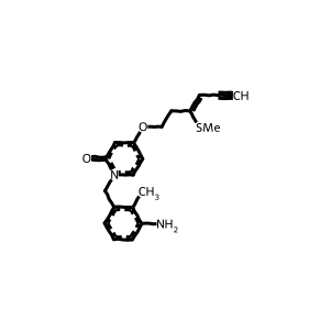 C#C/C=C(/CCOc1ccn(Cc2cccc(N)c2C)c(=O)c1)SC